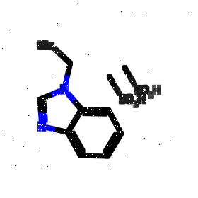 CC(C)(C)Cn1cnc2ccccc21.CS(=O)(=O)O.CS(=O)(=O)O